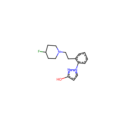 Oc1ccn(-c2ccccc2CCN2CCC(F)CC2)n1